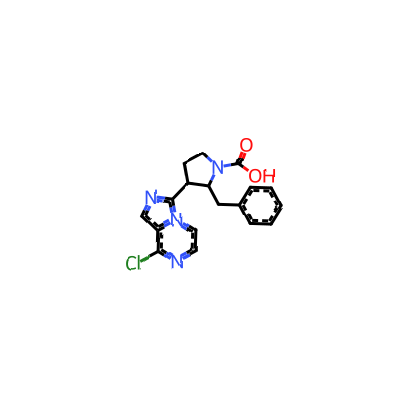 O=C(O)N1CCC(c2ncc3c(Cl)nccn23)C1Cc1ccccc1